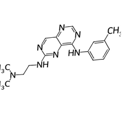 Cc1cccc(Nc2ncnc3cnc(NCCN(C)C)nc23)c1